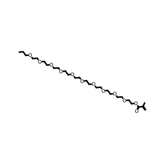 C=C(C)C(=O)OCCOCCOCCOCCOCCOCCOCCOCCOCCOCCOCCC